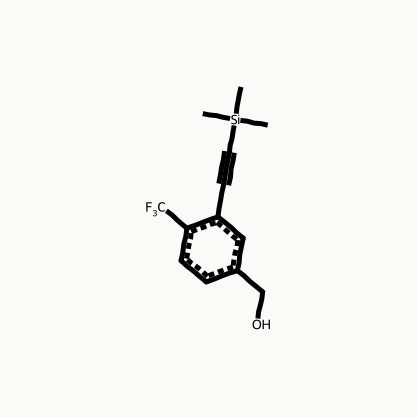 C[Si](C)(C)C#Cc1cc(CO)ccc1C(F)(F)F